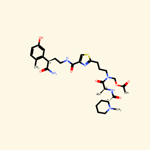 CCCC(=O)OCN(CCCc1nc(C(=O)NCC[C@@H](C(N)=O)c2cc(O)ccc2C)cs1)C(=O)[C@@H](NC(=O)[C@H]1CCCCN1C)C(C)CC